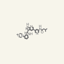 CC(C)CC(=O)Nc1cncc(-c2cnc3[nH]nc(-c4nc5c(N6CCN(C)CC6)cccc5[nH]4)c3c2)c1